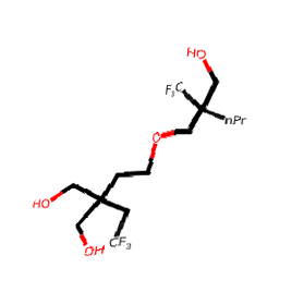 CCCC(CO)(COCCC(CO)(CO)CC(F)(F)F)C(F)(F)F